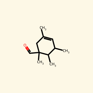 CC1=CC(C)C(C)C(C)(C=O)C1